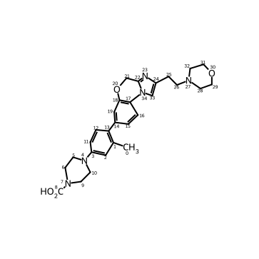 Cc1cc(N2CCN(C(=O)O)CC2)ccc1-c1ccc2c(c1)OCc1nc(CCN3CCOCC3)cn1-2